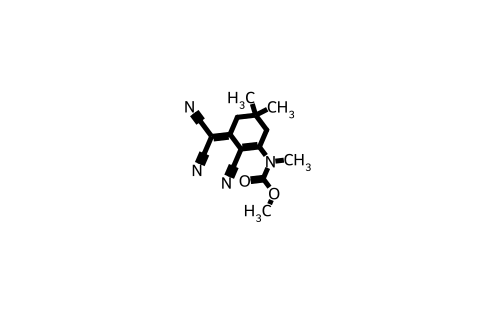 COC(=O)N(C)C1=C(C#N)C(=C(C#N)C#N)CC(C)(C)C1